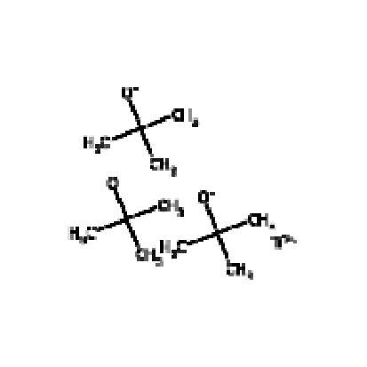 CC(C)(C)[O-].CC(C)(C)[O-].CC(C)(C)[O-].[Ti+3]